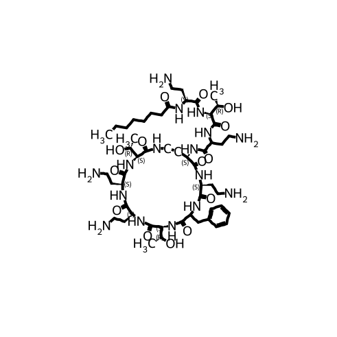 CCCCCCCC(=O)N[C@@H](CCN)C(=O)N[C@H](C(=O)NC(CCN)C(=O)N[C@H]1CCNC(=O)[C@H]([C@@H](C)O)NC(=O)[C@H](CCN)NC(=O)[C@H](CCN)NC(=O)[C@H]([C@@H](C)O)NC(=O)C(Cc2ccccc2)NC(=O)[C@H](CCN)NC1=O)[C@@H](C)O